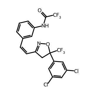 O=C(Nc1cccc(/C=C\C2=NOC(c3cc(Cl)cc(Cl)c3)(C(F)(F)F)C2)c1)C(F)(F)F